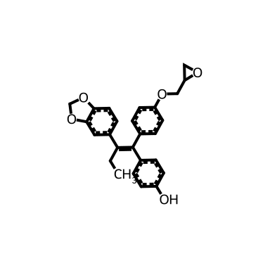 CC/C(=C(\c1ccc(O)cc1)c1ccc(OCC2CO2)cc1)c1ccc2c(c1)OCO2